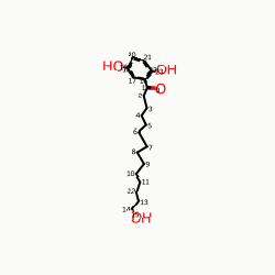 O=C(CCCCCCCCCCCCCO)c1cc(O)ccc1O